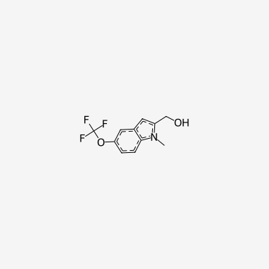 Cn1c(CO)cc2cc(OC(F)(F)F)ccc21